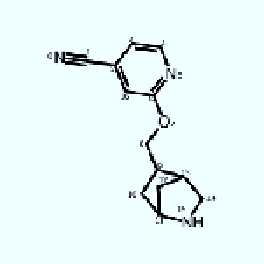 N#Cc1ccnc(OCC2CC3CC2CN3)c1